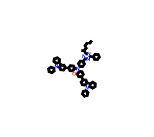 C=C/C=C\C=C(/C)c1nc(-c2ccccc2)nc(-c2ccc(N3c4ccc(-c5ccc6c(c5)c5ccccc5n6-c5ccccc5)cc4Oc4cc(-c5ccc6c(c5)c5ccccc5n6-c5ccccc5)ccc43)cc2)n1